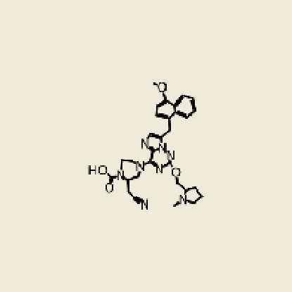 COc1ccc(Cc2cnc3c(N4CCN(C(=O)O)C(CC#N)C4)nc(OCC4CCCN4C)nn23)c2ccccc12